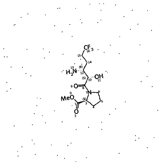 COC(=O)[C@@H]1CCCN1C(=O)[C@@H](O)[C@H](N)CCC(F)(F)F